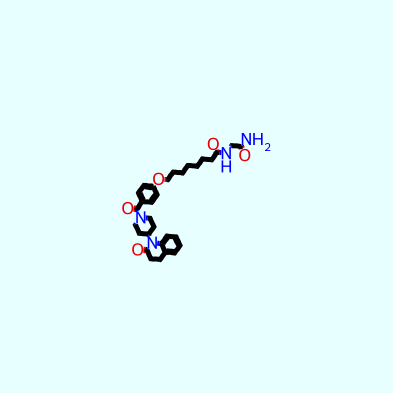 NC(=O)CNC(=O)CCCCCCCOc1ccc(C(=O)N2CCC(N3C(=O)CCc4ccccc43)CC2)cc1